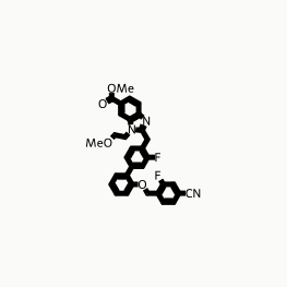 COCCn1c(Cc2ccc(-c3ccccc3OCc3ccc(C#N)cc3F)cc2F)nc2ccc(C(=O)OC)cc21